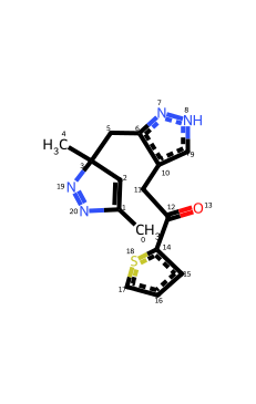 CC1=CC(C)(Cc2n[nH][c]c2CC(=O)c2cccs2)N=N1